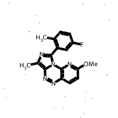 COc1ccc2nnc3c(C)nc(-c4cc(F)ccc4C)n3c2n1